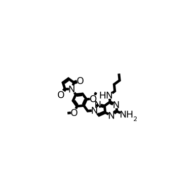 CCCCNc1nc(N)nc2cn(Cc3c(OC)cc(N4C(=O)C=CC4=O)cc3OC)nc12